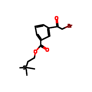 C[Si](C)(C)CCOC(=O)c1cccc(C(=O)CBr)c1